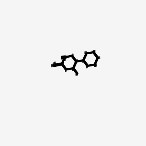 CC1CC(=N)NCC1C1CCCCC1